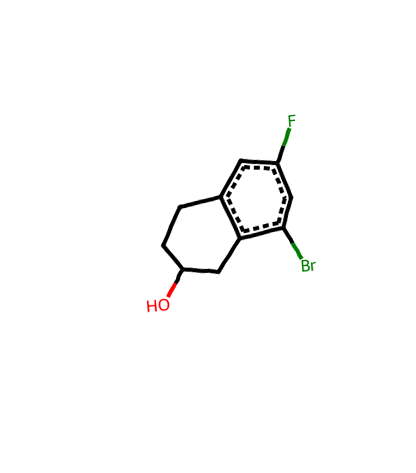 OC1CCc2cc(F)cc(Br)c2C1